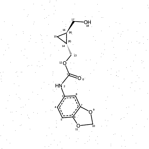 O=C(Nc1ccc2c(c1)OCO2)OC[C@@H]1C[C@H]1CO